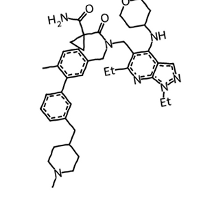 CCc1nc2c(cnn2CC)c(NC2CCOCC2)c1CN(Cc1ccc(C)c(-c2cccc(CC3CCN(C)CC3)c2)c1)C(=O)C1(C(N)=O)CC1